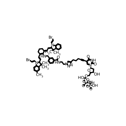 Cc1ccc2c(c1)C(C)(C)C(/C=C/C1=C(NCc3cccc(C(=O)NCCn4cc(CCCC#Cc5cn([C@H]6C[C@@H](O)C(COP(=O)(O)OP(=O)(O)OP(=O)(O)O)O6)c(=O)[nH]c5=O)nn4)c3)C(=C/C=C3/N(/C=C/Br)c4ccccc4C3(C)C)/CCC1)=[N+]2/C=C/Br